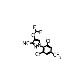 N#Cc1nn(-c2c(Cl)cc(C(F)(F)F)cc2Cl)cc1OC(F)F